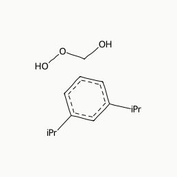 CC(C)c1cccc(C(C)C)c1.OCOO